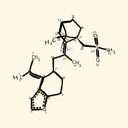 CC(C)=C1c2ccoc2CCC1C/C(C)=C1\CC2CC[C@@]1(CS(N)(=O)=O)C2(C)C